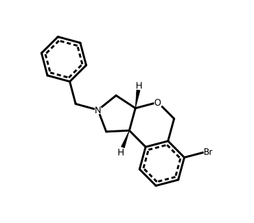 Brc1cccc2c1CO[C@H]1CN(Cc3ccccc3)C[C@@H]21